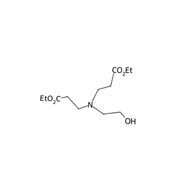 CCOC(=O)CCN(CCO)CCC(=O)OCC